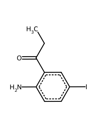 CCC(=O)c1cc(I)ccc1N